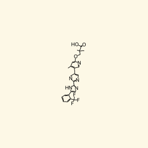 Cc1cc(OCC(C)(C)C(=O)O)ncc1-c1cnc(-c2ncc(-c3ccccc3C(F)(F)F)[nH]2)nc1